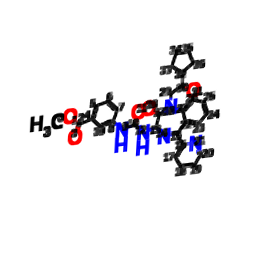 COC(=O)c1cccc(NC(=O)N[C@@H]2N=C(c3ccccn3)c3ccccc3N(CC(=O)C3CCCC3)C2=O)c1